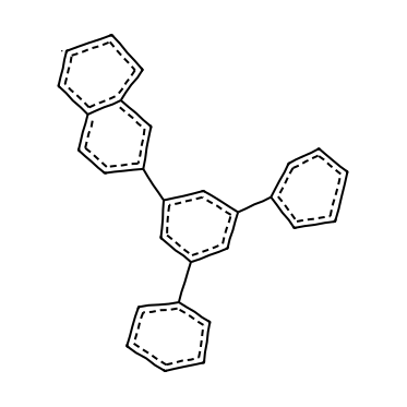 [c]1ccc2cc(-c3cc(-c4ccccc4)cc(-c4ccccc4)c3)ccc2c1